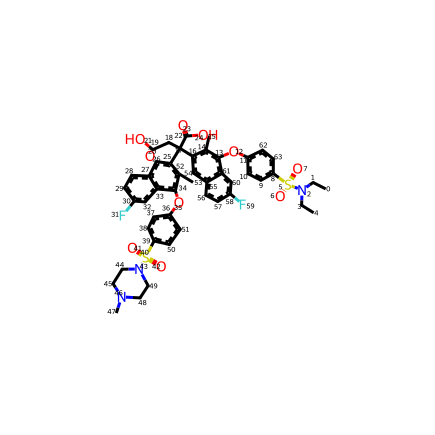 CCN(CC)S(=O)(=O)c1ccc(Oc2c(C)c(C(CC(=O)O)(C(=O)O)c3cc4ccc(F)cc4c(Oc4ccc(S(=O)(=O)N5CCN(C)CC5)cc4)c3C)cc3ccc(F)cc23)cc1